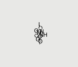 CCOC(=O)CONc1nc2ccc(I)cc2c(=O)n1-c1ccccc1